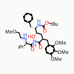 COCCN[C@@H](C(=O)NC(=O)C(Cc1ccc(OC)c(OC)c1OC)C[C@H](O)[C@H](Cc1ccccc1)NC(=O)OC(C)(C)C)C(C)C